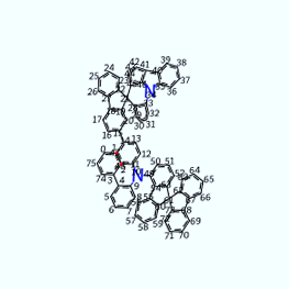 c1ccc(-c2ccccc2N(c2ccc(-c3ccc4c(c3)C3(c5ccccc5-4)c4ccccc4-n4c5ccccc5c5cccc3c54)cc2)c2cccc3c2-c2ccccc2C32c3ccccc3-c3ccccc32)cc1